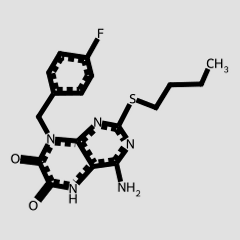 CCCCSc1nc(N)c2[nH]c(=O)c(=O)n(Cc3ccc(F)cc3)c2n1